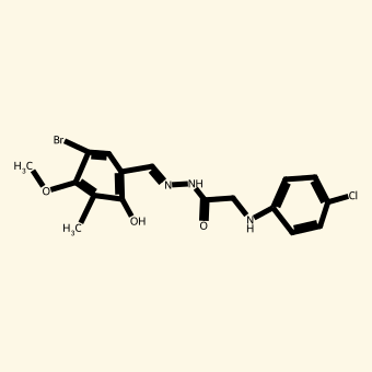 COc1c(Br)cc(/C=N/NC(=O)CNc2ccc(Cl)cc2)c(O)c1C